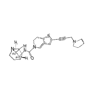 C[C@H]1[C@H](NC(=O)N2C=c3cc(C#CCN4CCCC4)sc3=CC2)C2CCN1CC2